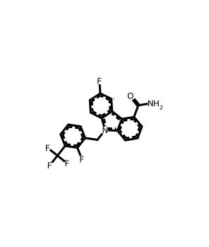 NC(=O)c1cccc2c1c1[c]c(F)ccc1n2Cc1cccc(C(F)(F)F)c1F